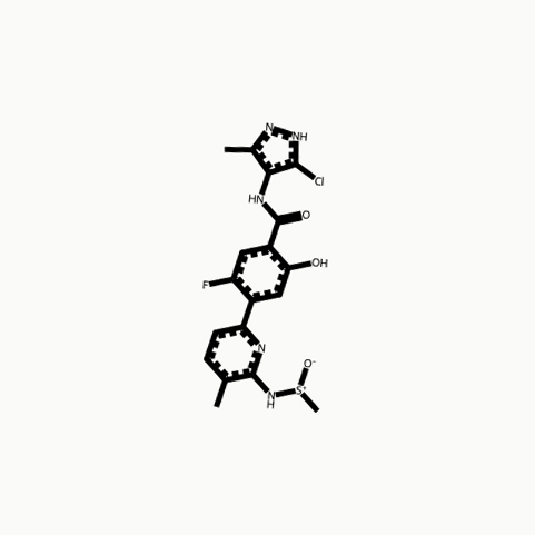 Cc1ccc(-c2cc(O)c(C(=O)Nc3c(C)n[nH]c3Cl)cc2F)nc1N[S+](C)[O-]